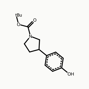 CC(C)(C)OC(=O)N1CCC(c2ccc(O)cc2)C1